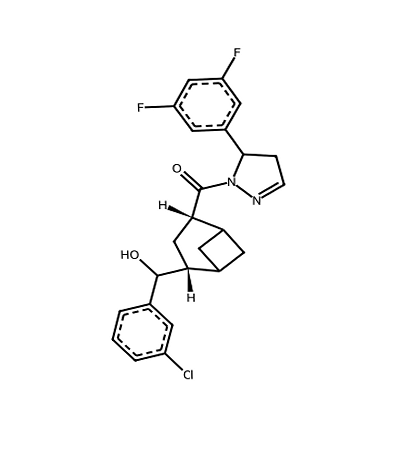 O=C([C@H]1C[C@@H](C(O)c2cccc(Cl)c2)C2CC1C2)N1N=CCC1c1cc(F)cc(F)c1